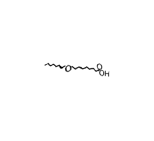 CCCCC/C=C/COCCCCCCCCC(=O)O